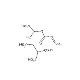 C=CC(=O)OC(C)S(=O)(=O)O.O=C(O)CC(C(=O)O)S(=O)(=O)O